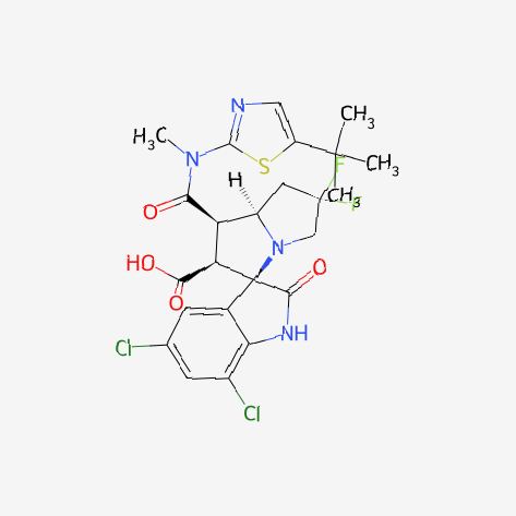 CN(C(=O)[C@H]1[C@H]2CC(F)(F)CN2[C@]2(C(=O)Nc3c(Cl)cc(Cl)cc32)[C@H]1C(=O)O)c1ncc(C(C)(C)C)s1